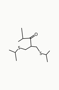 CC(C)SCC(CSC(C)C)C(=O)C(C)C